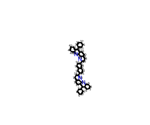 c1ccc(-c2c3ccccc3nc3c2ccc2ccc(-c4ccc5cc(-c6ccc7ccc8c(-c9ccccc9)c9ccccc9nc8c7n6)ccc5c4)nc23)cc1